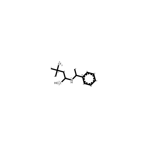 CC(NC(CC(C)(C)C(F)(F)F)C(=O)O)c1ccccc1